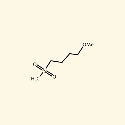 COCCCCS(C)(=O)=O